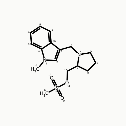 Cn1cc(CN2CCCC2COS(C)(=O)=O)c2ccccc21